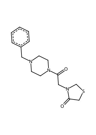 O=C(CN1CSCC1=O)N1CCN(Cc2ccccc2)CC1